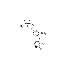 C[C@@H]1C[C@@H](N)C2(CCN(c3cnc(Sc4ccnc(Cl)c4Cl)c(N)n3)CC2)C1